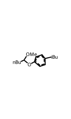 CCCCC(OC)Oc1ccc(C(C)CC)cc1